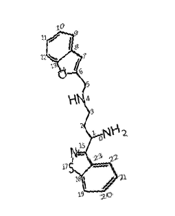 NC(CCNCc1cc2ccccc2o1)c1nsc2ccccc12